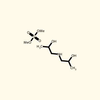 CC(O)CNCC(C)O.COS(=O)(=O)OC